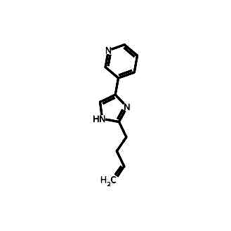 C=CCCc1nc(-c2cccnc2)c[nH]1